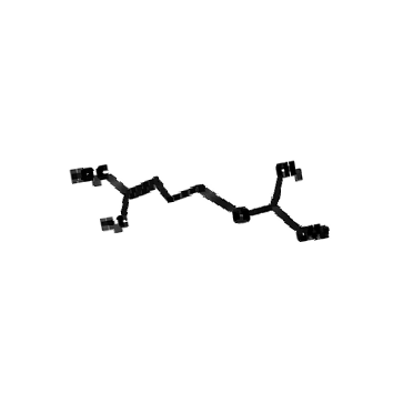 COC(C)OCCC=C(C)C(=O)O